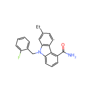 CCc1c[c]c2c3c(C(N)=O)cccc3n(Cc3ccccc3F)c2c1